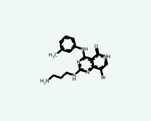 Cc1cccc(Nc2nc(NCCCN)nc3c(Br)c[nH]c(=O)c23)c1